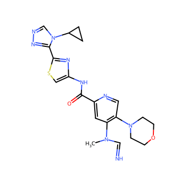 CN(C=N)c1cc(C(=O)Nc2csc(-c3nncn3C3CC3)n2)ncc1N1CCOCC1